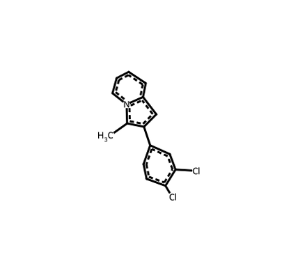 Cc1c(-c2ccc(Cl)c(Cl)c2)cc2ccccn12